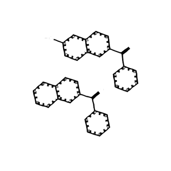 O=C(c1ccccc1)c1ccc2cc(O)ccc2c1.O=C(c1ccccc1)c1ccc2ccccc2c1